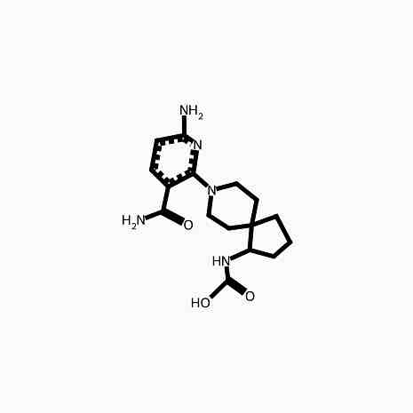 NC(=O)c1ccc(N)nc1N1CCC2(CCCC2NC(=O)O)CC1